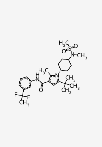 Cc1c(C(=O)Nc2cccc(C(C)(F)F)c2)cc(C(C)(C)C)n1[C@H]1CC[C@H](N(C)S(C)(=O)=O)CC1